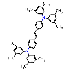 Cc1cc(C)cc(N(c2ccc(/C=C/c3ccc(N(c4cc(C)cc(C)c4)c4cc(C)cc(C)c4)cc3)cc2)c2cc(C)cc(C)c2)c1